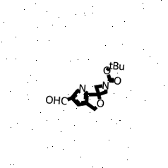 CC(C)(C)OC(=O)N1CC2(C1)OCc1cc(C=O)cnc12